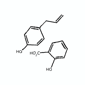 C=CCc1ccc(O)cc1.O=C(O)c1ccccc1O